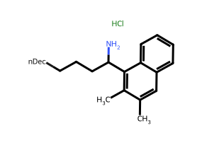 CCCCCCCCCCCCCC(N)c1c(C)c(C)cc2ccccc12.Cl